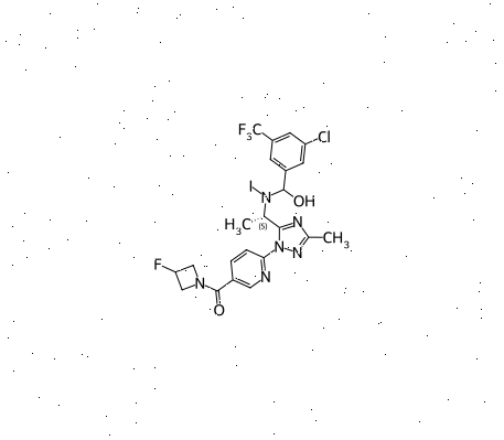 Cc1nc([C@H](C)N(I)C(O)c2cc(Cl)cc(C(F)(F)F)c2)n(-c2ccc(C(=O)N3CC(F)C3)cn2)n1